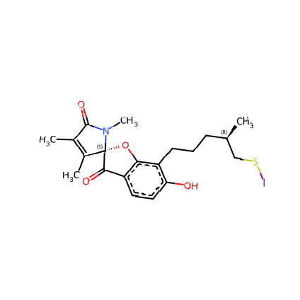 CC1=C(C)[C@@]2(Oc3c(ccc(O)c3CCC[C@@H](C)CSI)C2=O)N(C)C1=O